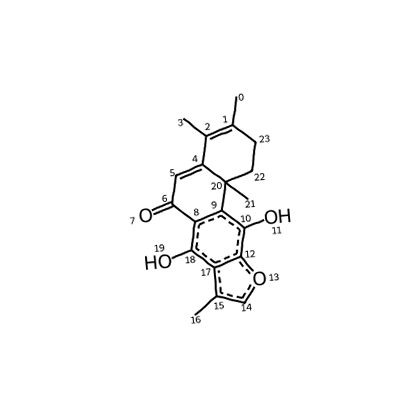 CC1=C(C)C2=CC(=O)c3c(c(O)c4occ(C)c4c3O)C2(C)CC1